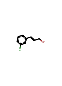 Clc1cccc(/C=C/CBr)c1